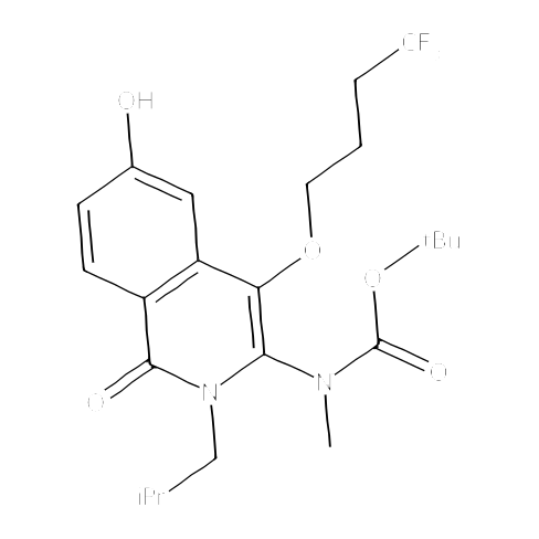 CC(C)Cn1c(N(C)C(=O)OC(C)(C)C)c(OCCCC(F)(F)F)c2cc(O)ccc2c1=O